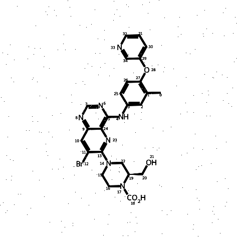 Cc1cc(Nc2ncnc3cc(Br)c(N4CCN(C(=O)O)[C@H](CO)C4)nc23)ccc1Oc1cccnc1